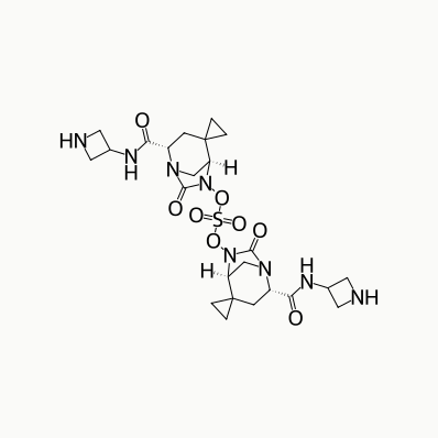 O=C(NC1CNC1)[C@@H]1CC2(CC2)[C@@H]2CN1C(=O)N2OS(=O)(=O)ON1C(=O)N2C[C@H]1C1(CC1)C[C@H]2C(=O)NC1CNC1